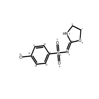 O=S(=O)(N=C1NCCO1)c1ccc(Cl)cc1